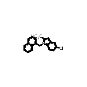 O=C(O)c1cc2cc(Cl)ccc2n1Cc1cccc2ccccc12